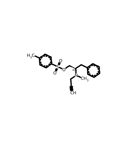 C#CCN(C)[C@@H](COS(=O)(=O)c1ccc(C)cc1)Cc1ccccc1